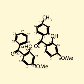 COc1ccc(C(=O)c2ccc(C)cc2)c(O)c1.COc1ccc(C(=O)c2ccccc2)c(O)c1